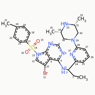 CCC(Nc1ncnc2c1c(Br)cn2S(=O)(=O)c1ccc(C)cc1)c1cccc(N2C[C@@H](C)N[C@@H](C)C2)n1